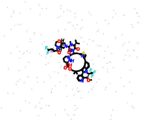 CO[C@@H](C)c1ncccc1-c1c2c3cc(ccc3n1CC(F)(F)F)-c1csc(n1)C[C@H](NC(=O)[C@H](C(C)C)N(C)C(=O)N1C[C@@H]3OCCN(C(=O)/C=C/C(F)F)[C@@H]3C1)C(=O)N1CCC[C@@](O)(N1)C(=O)OCC(C)(C)C2